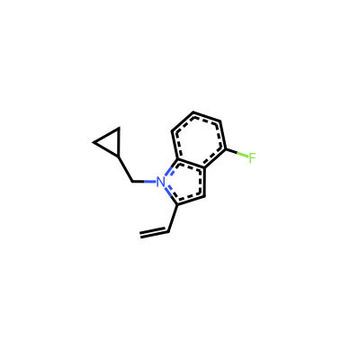 C=Cc1cc2c(F)cccc2n1CC1CC1